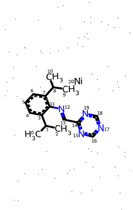 CC(C)c1cccc(C(C)C)c1N=Cc1ncncn1.[Ni]